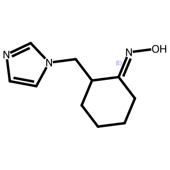 O/N=C1\CCCCC1Cn1ccnc1